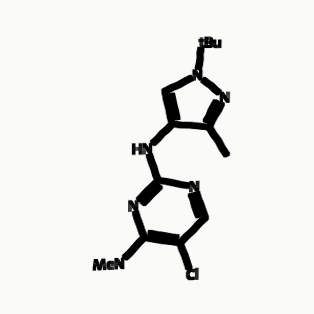 CNc1nc(Nc2cn(C(C)(C)C)nc2C)ncc1Cl